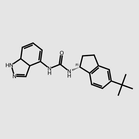 CC(C)(C)c1ccc2c(c1)CC[C@H]2NC(=O)NC1=CC=CC2NN=CC12